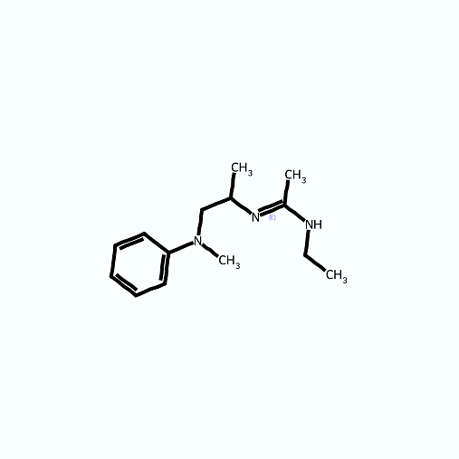 CCN/C(C)=N/C(C)CN(C)c1ccccc1